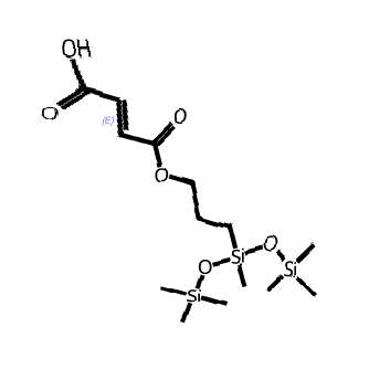 C[Si](C)(C)O[Si](C)(CCCOC(=O)/C=C/C(=O)O)O[Si](C)(C)C